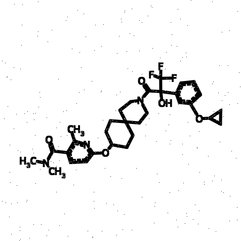 Cc1nc(OC2CCC3(CC2)CCN(C(=O)C(O)(c2cccc(OC4CC4)c2)C(F)(F)F)CC3)ccc1C(=O)N(C)C